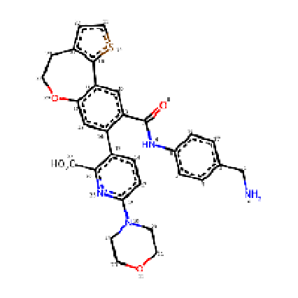 NCc1ccc(NC(=O)c2cc3c(cc2-c2ccc(N4CCOCC4)nc2C(=O)O)OCCc2ccsc2-3)cc1